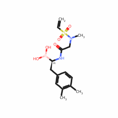 C=CS(=O)(=O)N(C)CC(=O)N[C@@H](Cc1ccc(C)c(C)c1)B(O)O